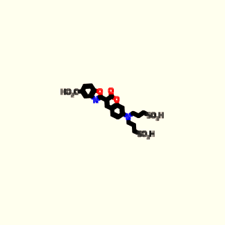 O=C(O)c1ccc2oc(-c3cc4ccc(N(CCCS(=O)(=O)O)CCCS(=O)(=O)O)cc4oc3=O)nc2c1